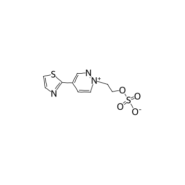 O=S(=O)([O-])OCC[n+]1ccc(-c2nccs2)cn1